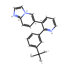 [2H]C([2H])([2H])c1cccc(-c2ncccc2-c2ccc3nccn3c2)c1